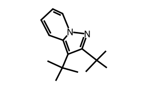 CC(C)(C)c1nn2ccccc2c1C(C)(C)C